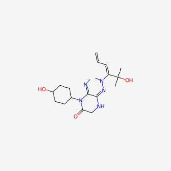 C=C/C=C(\N(C)/N=C1/NCC(=O)N(C2CCC(O)CC2)/C1=N/C)C(C)(C)O